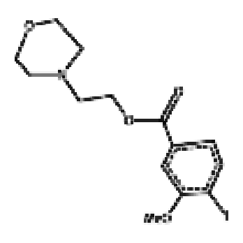 COc1cc(C(=O)OCCN2CCOCC2)ccc1I